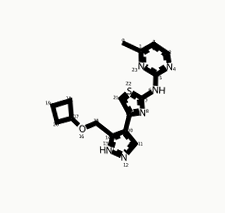 Cc1ccnc(Nc2nc(-c3cn[nH]c3COC3CCC3)cs2)n1